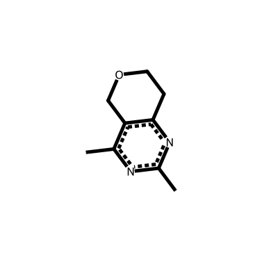 Cc1nc(C)c2c(n1)CCOC2